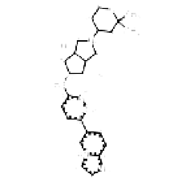 CC1(C)CC(N2C[C@H]3C[C@@H](Nc4ccc(-c5ccc6nccn6c5)nn4)C[C@H]3C2)CCO1